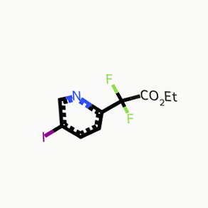 CCOC(=O)C(F)(F)c1ccc(I)cn1